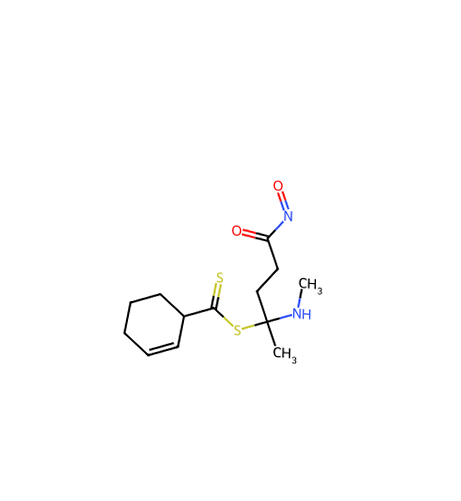 CNC(C)(CCC(=O)N=O)SC(=S)C1C=CCCC1